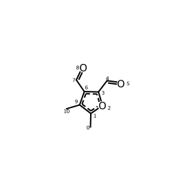 Cc1oc(C=O)c(C=O)c1C